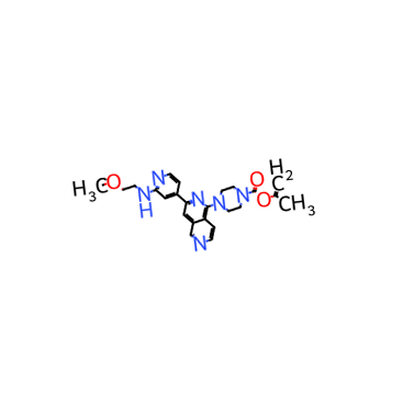 C=C(C)OC(=O)N1CCN(c2nc(-c3ccnc(NCCOC)c3)cc3cnccc23)CC1